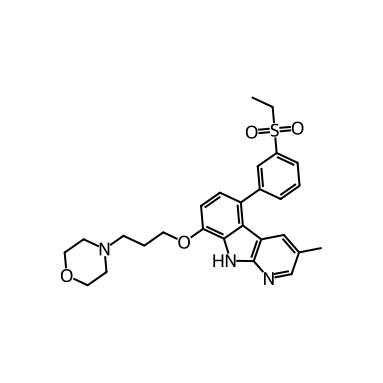 CCS(=O)(=O)c1cccc(-c2ccc(OCCCN3CCOCC3)c3[nH]c4ncc(C)cc4c23)c1